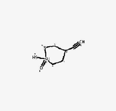 C#CC1CC[SH](=O)(S)SC1